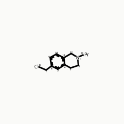 CC(C)N1CCc2cc(CCl)ccc2C1